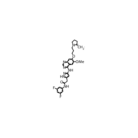 [CH2][C@@H]1CCCN1CCCOc1cc2ncnc(Nc3cc(CC(=O)Nc4cc(F)cc(F)c4)[nH]n3)c2cc1OC